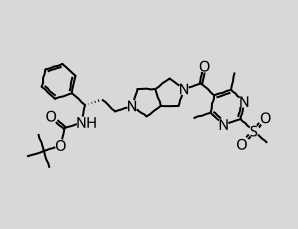 Cc1nc(S(C)(=O)=O)nc(C)c1C(=O)N1CC2CN(CC[C@H](NC(=O)OC(C)(C)C)c3ccccc3)CC2C1